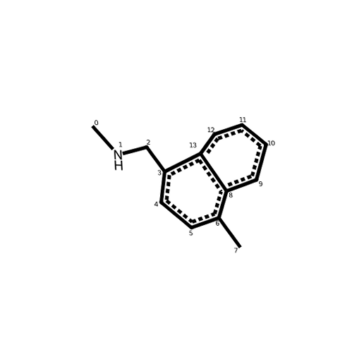 CNCc1ccc(C)c2ccccc12